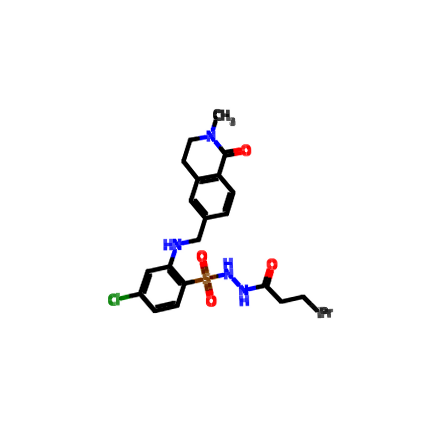 CC(C)CCC(=O)NNS(=O)(=O)c1ccc(Cl)cc1NCc1ccc2c(c1)CCN(C)C2=O